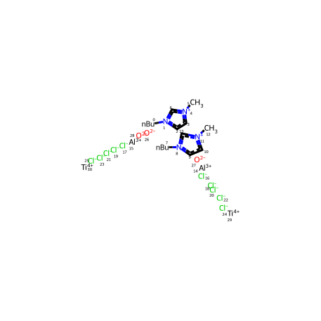 CCCCn1cc[n+](C)c1.CCCCn1cc[n+](C)c1.[Al+3].[Al+3].[Cl-].[Cl-].[Cl-].[Cl-].[Cl-].[Cl-].[Cl-].[Cl-].[Cl-].[Cl-].[O-2].[O-2].[O-2].[Ti+4].[Ti+4]